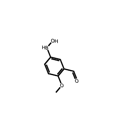 COc1ccc(BO)cc1C=O